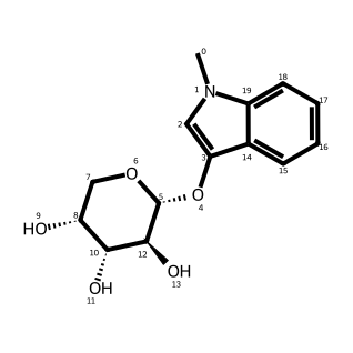 Cn1cc(O[C@H]2OC[C@@H](O)[C@@H](O)[C@@H]2O)c2ccccc21